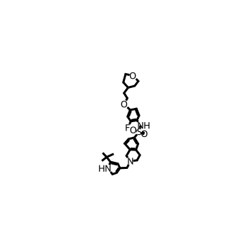 CC(C)(C)C1=CC(CN2CCc3cc(S(=O)(=O)Nc4ccc(OCCC5CCOCC5)cc4F)ccc3C2)=CCN1